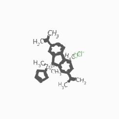 C.C=C(C)c1ccc2c(c1)[CH]([Zr+2]([CH3])([CH3])[C]1=CC=CC1)c1cc(C(=C)C)ccc1-2.[Cl-].[Cl-]